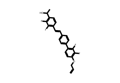 C=CCOc1ccc(-c2ccc(/C=C/c3ccc(C(C)O)c(F)c3F)cc2)c(F)c1F